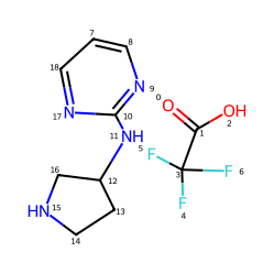 O=C(O)C(F)(F)F.c1cnc(NC2CCNC2)nc1